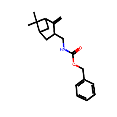 C=C1C(CNC(=O)OCc2ccccc2)CC2CC1C2(C)C